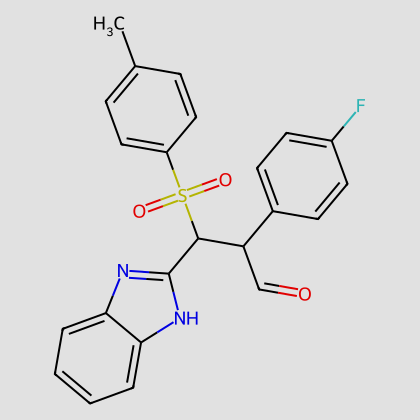 Cc1ccc(S(=O)(=O)C(c2nc3ccccc3[nH]2)C(C=O)c2ccc(F)cc2)cc1